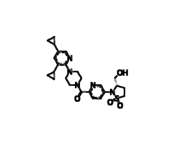 O=C(c1ccc(N2[C@H](CO)CCS2(=O)=O)cn1)N1CCN(c2ncc(C3CC3)cc2C2CC2)CC1